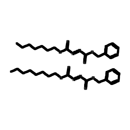 CCCCCCCCOC(=O)N=NC(=O)OCc1ccccc1.CCCCCCCOC(=O)N=NC(=O)OCc1ccccc1